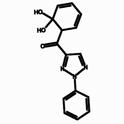 O=C(c1cnn(-c2ccccc2)n1)C1C=CC=CC1(O)O